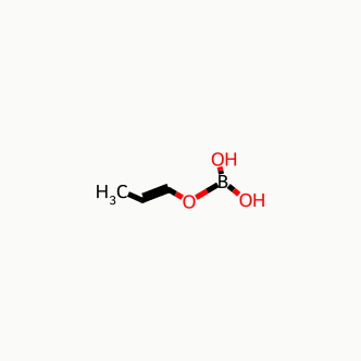 CC=COB(O)O